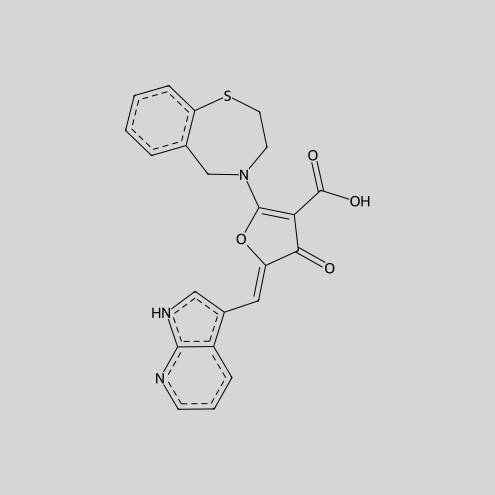 O=C(O)C1=C(N2CCSc3ccccc3C2)O/C(=C\c2c[nH]c3ncccc23)C1=O